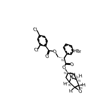 Br.CN1[C@@H]2C[C@@H](OC(=O)[C@H](COC(=O)c3ccc(Cl)cc3Cl)c3ccccc3)C[C@H]1[C@@H]1O[C@@H]12